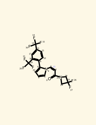 O=C(/C=C\n1cccc1-c1ccc(C(F)(F)F)cc1C(F)(F)F)N1CC(F)(F)C1